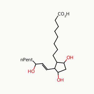 CCCCCC(O)C=CC1C(O)CC(O)C1CCCCCCCC(=O)O